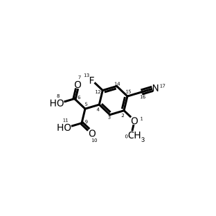 COc1cc(C(C(=O)O)C(=O)O)c(F)cc1C#N